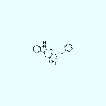 C[C](Cc1c[nH]c2ccccc12)C(=O)NCCc1ccccc1